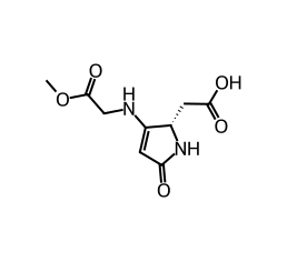 COC(=O)CNC1=CC(=O)N[C@H]1CC(=O)O